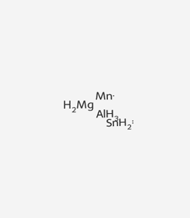 [AlH3].[MgH2].[Mn].[SnH2]